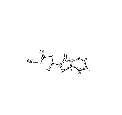 CC(C)(C)OC(=O)CC(=O)c1cc2ccccc2[nH]1